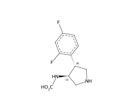 O=C(O)N[C@@H]1CNC[C@H]1c1ccc(F)cc1F